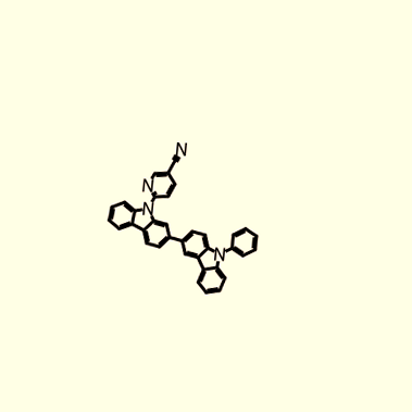 N#Cc1ccc(-n2c3ccccc3c3ccc(-c4ccc5c(c4)c4ccccc4n5-c4ccccc4)cc32)nc1